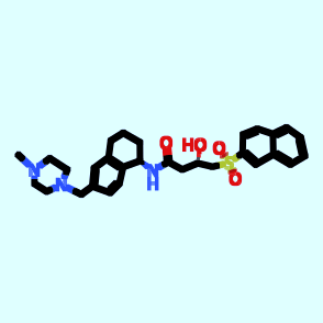 CN1CCN(Cc2ccc3c(c2)CCC[C@H]3NC(=O)C[C@H](O)CS(=O)(=O)c2ccc3ccccc3c2)CC1